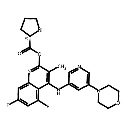 Cc1c(OC(=O)[C@H]2CCCN2)nc2cc(F)cc(F)c2c1Nc1cncc(N2CCOCC2)c1